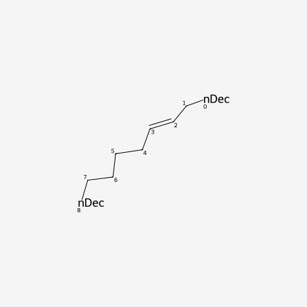 [CH2]CCCCCCCCCC/C=C/CCCCCCCCCCCCC[CH2]